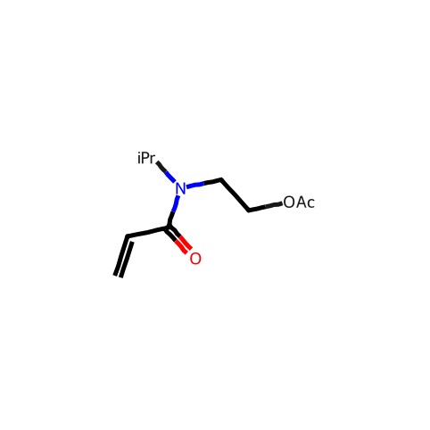 C=CC(=O)N(CCOC(C)=O)C(C)C